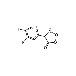 O=C1OONC1c1ccc(F)c(F)c1